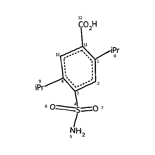 CC(C)c1cc(S(N)(=O)=O)c(C(C)C)cc1C(=O)O